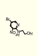 O=[N+]([O-])c1cc(Br)cnc1NCCO